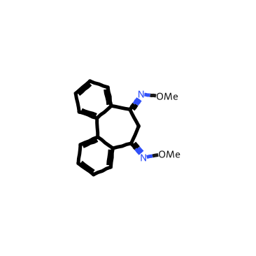 CON=C1CC(=NOC)c2ccccc2-c2ccccc21